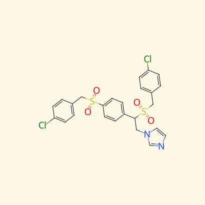 O=S(=O)(Cc1ccc(Cl)cc1)c1ccc(C(Cn2ccnc2)S(=O)(=O)Cc2ccc(Cl)cc2)cc1